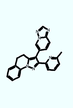 Cc1cccc(-c2nn3c(c2-c2ccc4ncnn4c2)CCc2ccccc2-3)n1